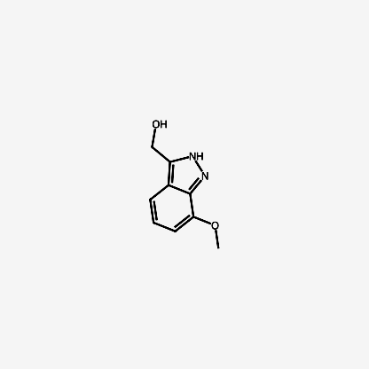 COc1cccc2c(CO)[nH]nc12